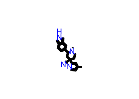 Cc1ccnc(C2(C#N)CCN(C)C(c3ccc4c[nH]cc4c3)C2)c1